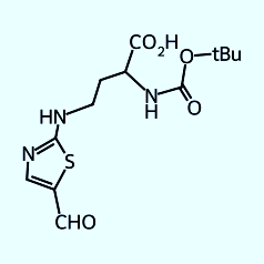 CC(C)(C)OC(=O)NC(CCNc1ncc(C=O)s1)C(=O)O